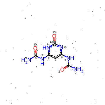 NC(=O)Nc1cc(NC(N)=O)[nH]c(=O)n1